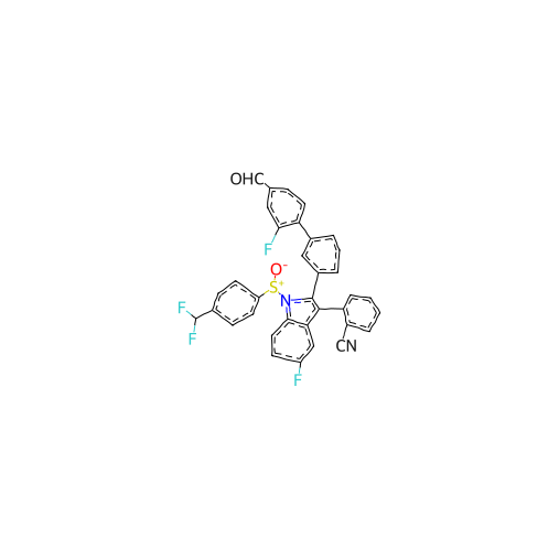 N#Cc1ccccc1-c1c(-c2cccc(-c3ccc(C=O)cc3F)c2)n([S+]([O-])c2ccc(C(F)F)cc2)c2ccc(F)cc12